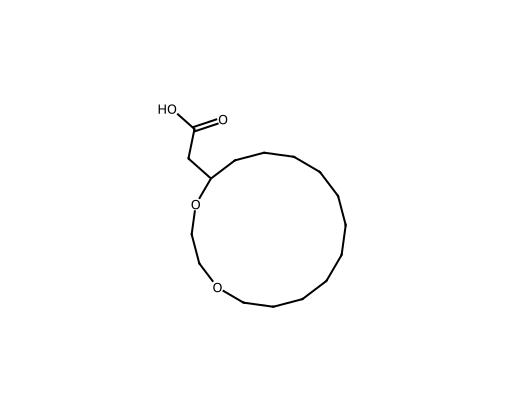 O=C(O)CC1CCCCCCCCCCCOCCO1